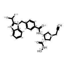 C#CCN1C[C@H](C(=O)NO)[C@H](NC(=O)c2ccc(Cn3c(C(F)F)nc4ccccc43)cc2)C1